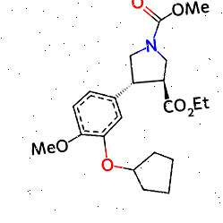 CCOC(=O)[C@@H]1CN(C(=O)OC)C[C@H]1c1ccc(OC)c(OC2CCCC2)c1